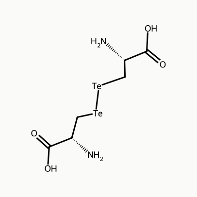 N[C@@H](C[Te][Te]C[C@H](N)C(=O)O)C(=O)O